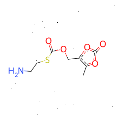 Cc1oc(=O)oc1COC(=O)SCCN